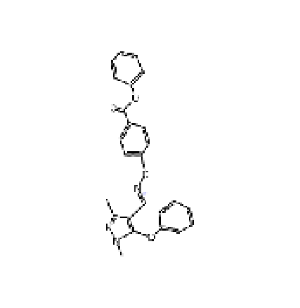 Cc1nn(C)c(Oc2ccccc2)c1/C=N/Oc1ccc(C(=O)Oc2ccccc2)cc1